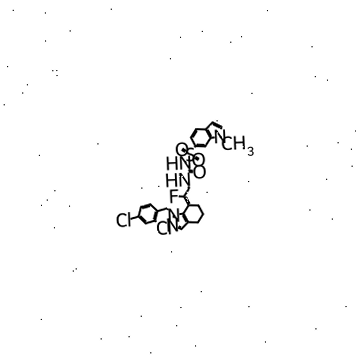 Cn1ccc2ccc(S(=O)(=O)NC(=O)NC/C(F)=C3\CCCc4cnn(Cc5ccc(Cl)cc5Cl)c43)cc21